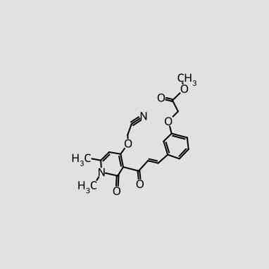 COC(=O)COc1cccc(C=CC(=O)c2c(OCC#N)cc(C)n(C)c2=O)c1